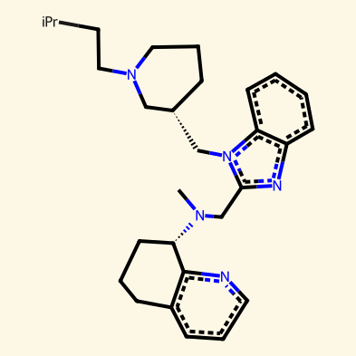 CC(C)CCN1CCC[C@H](Cn2c(CN(C)[C@H]3CCCc4cccnc43)nc3ccccc32)C1